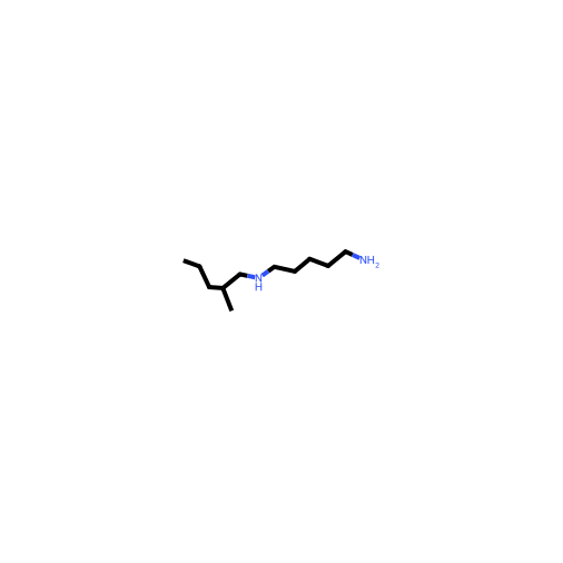 CCCC(C)CNCCCCCN